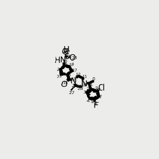 CC(c1ccc(F)cc1Cl)N1CCN(C(=O)c2ccc(N[SH](=O)=O)cc2)[C@H](C)C1